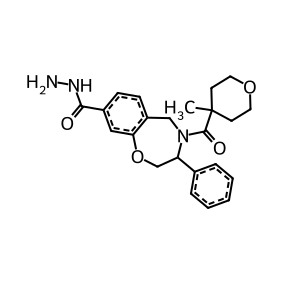 CC1(C(=O)N2Cc3ccc(C(=O)NN)cc3OCC2c2ccccc2)CCOCC1